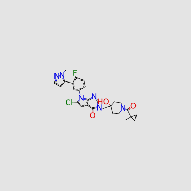 Cn1nccc1-c1cc(-n2c(Cl)cc3c(=O)n(CC4(O)CCN(C(=O)C5(C)CC5)CC4)cnc32)ccc1F